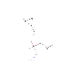 CC(N)CC(C)(CN)OCC1CC1(C)N